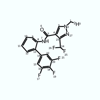 [2H]Cn1cc(C(=O)Nc2ccccc2-c2cc(F)c(F)c(F)c2)c(C(F)F)n1